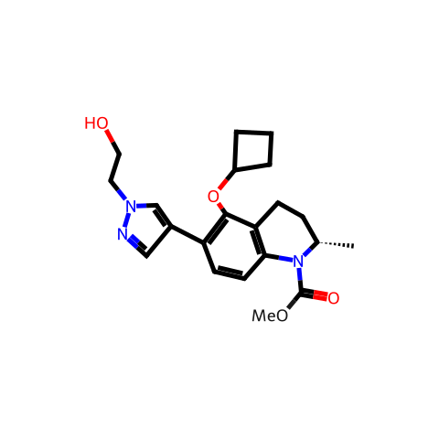 COC(=O)N1c2ccc(-c3cnn(CCO)c3)c(OC3CCC3)c2CC[C@@H]1C